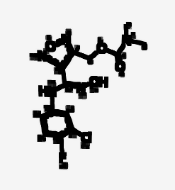 CN(C)C(=O)OCc1nonc1C(=NO)Nc1ccc(F)c(Cl)c1